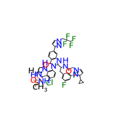 CNc1c(-n2c(C(Cc3cc(F)cc(F)c3)NC(=O)Cn3ccc(C4CC4)n3)nc3cc(-c4ccn(CC(F)(F)C(F)F)n4)ccc3c2=O)ccc(Cl)c1C(=N)N[S+](C)[O-]